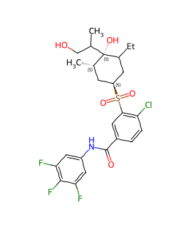 CCC1C[C@@H](S(=O)(=O)c2cc(C(=O)Nc3cc(F)c(F)c(F)c3)ccc2Cl)C[C@H](C)[C@@]1(O)C(C)CO